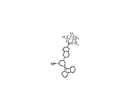 CC1(C)OB(c2ccc3cc(-c4cc(C#N)cc(-n5c6ccccc6c6ccccc65)c4)ccc3c2)OC1(C)C